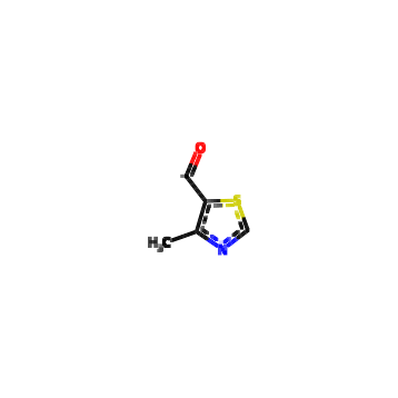 Cc1ncsc1[C]=O